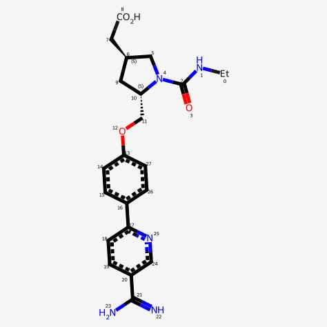 CCNC(=O)N1C[C@H](CC(=O)O)C[C@H]1COc1ccc(-c2ccc(C(=N)N)cn2)cc1